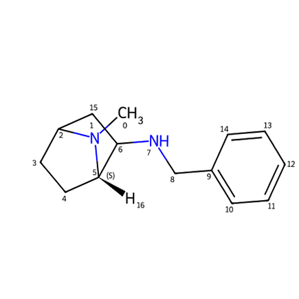 CN1C2CC[C@H]1C(NCc1ccccc1)C2